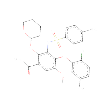 CCOc1cc(C(=O)OC)c(OC2CCCCO2)c(NS(=O)(=O)c2ccc(C(C)(C)C)cc2)c1Oc1cc(OC)ccc1Cl